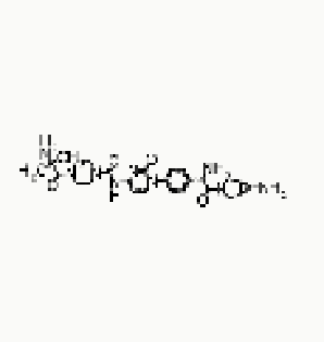 CC(C)(N)C(=O)N1CCN(C(=O)Nc2ccn(-c3ccc(C(N)C(=O)N4CC5C(N)C5C4)cc3)c(=O)n2)CC1